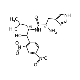 CC(C)C[C@H](NC(=O)[C@@H](N)Cc1c[nH]cn1)C(O)c1ccc([N+](=O)[O-])cc1[N+](=O)[O-]